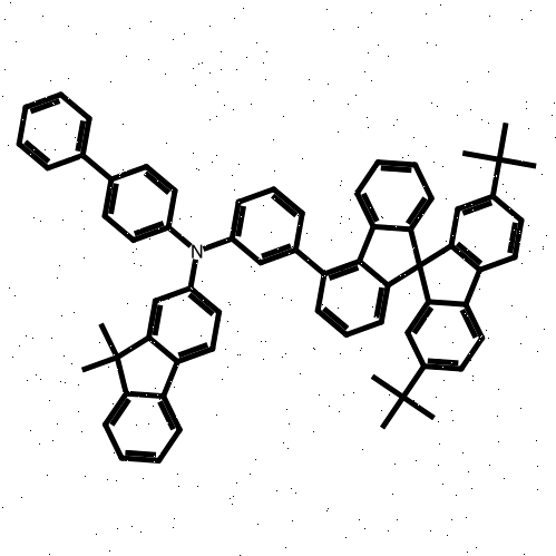 CC(C)(C)c1ccc2c(c1)C1(c3cc(C(C)(C)C)ccc3-2)c2ccccc2-c2c(-c3cccc(N(c4ccc(-c5ccccc5)cc4)c4ccc5c(c4)C(C)(C)c4ccccc4-5)c3)cccc21